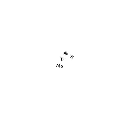 [Al].[Mo].[Ti].[Zr]